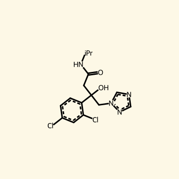 CC(C)NC(=O)CC(O)(Cn1cncn1)c1ccc(Cl)cc1Cl